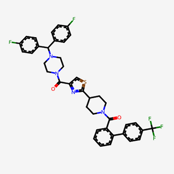 O=C(c1csc(C2CCN(C(=O)c3ccccc3-c3ccc(C(F)(F)F)cc3)CC2)n1)N1CCN(C(c2ccc(F)cc2)c2ccc(F)cc2)CC1